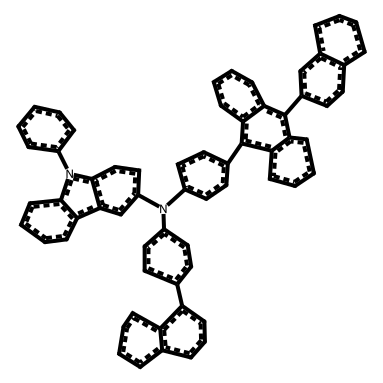 c1ccc(-n2c3ccccc3c3cc(N(c4ccc(-c5cccc6ccccc56)cc4)c4ccc(-c5c6ccccc6c(-c6ccc7ccccc7c6)c6ccccc56)cc4)ccc32)cc1